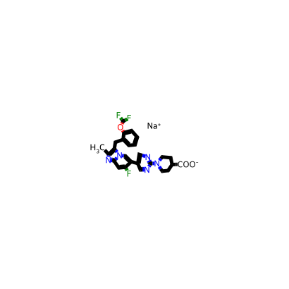 Cc1nc2cc(F)c(-c3cnc(N4CCC(C(=O)[O-])CC4)nc3)cn2c1Cc1ccccc1OC(F)F.[Na+]